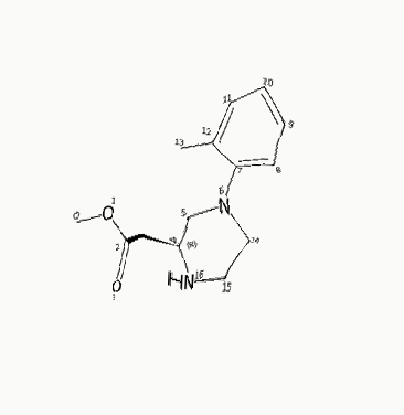 COC(=O)[C@H]1CN(c2ccccc2C)CCN1